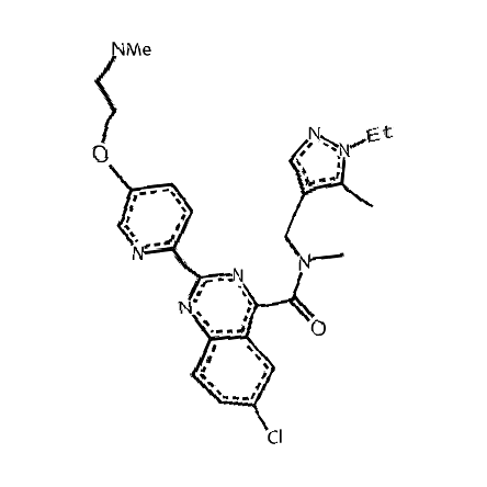 CCn1ncc(CN(C)C(=O)c2nc(-c3ccc(OCCNC)cn3)nc3ccc(Cl)cc23)c1C